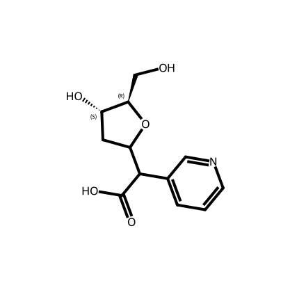 O=C(O)C(c1cccnc1)C1C[C@H](O)[C@@H](CO)O1